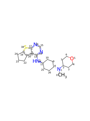 CN(C1CCOCC1)[C@H]1CC[C@H](Nc2ncnc3sc4c(c23)CCC4)CC1